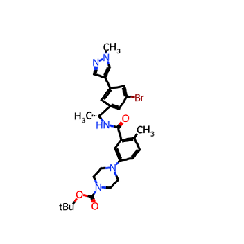 Cc1ccc(N2CCN(C(=O)OC(C)(C)C)CC2)cc1C(=O)N[C@H](C)c1cc(Br)cc(-c2cnn(C)c2)c1